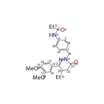 CCC(=O)Nc1ccc(CN2N=C(c3ccc(OC)c(OC)c3)C(CC)CC2=O)cc1